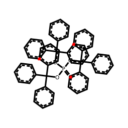 O=P(OC(c1ccccc1)(c1ccccc1)c1ccccc1)(OC(c1ccccc1)(c1ccccc1)c1ccccc1)OC(c1ccccc1)(c1ccccc1)c1ccccc1